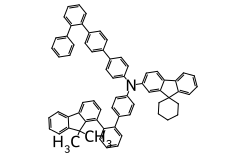 CC1(C)c2ccccc2-c2cccc(-c3ccccc3-c3ccc(N(c4ccc(-c5ccc(-c6ccccc6-c6ccccc6)cc5)cc4)c4ccc5c(c4)C4(CCCCC4)c4ccccc4-5)cc3)c21